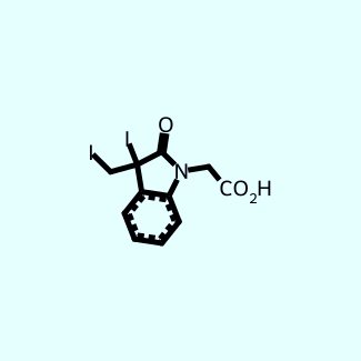 O=C(O)CN1C(=O)C(I)(CI)c2ccccc21